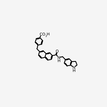 O=C(O)c1ccc(Cc2ccc3ccc(C(=O)NCc4ccc5c(c4)CCN5)cc3c2)cc1